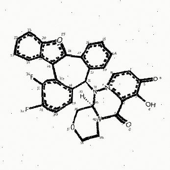 O=C1c2c(O)c(=O)ccn2N([C@@H]2c3ccccc3-c3oc4ccccc4c3-c3c2ccc(F)c3F)[C@@H]2COCCN12